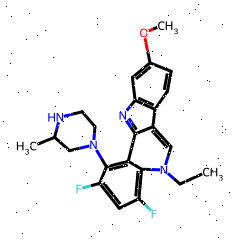 CCn1cc2c3ccc(OC)cc3nc-2c2c(N3CCNC(C)C3)c(F)cc(F)c21